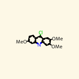 COc1ccc2c(Cl)c3cc(OC)c(OC)cc3nc2c1